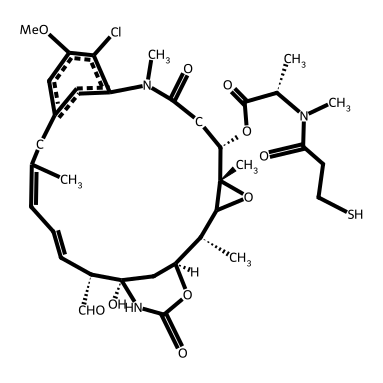 COc1cc2cc(c1Cl)N(C)C(=O)C[C@H](OC(=O)[C@H](C)N(C)C(=O)CCS)[C@]1(C)OC1[C@H](C)[C@@H]1C[C@@](O)(NC(=O)O1)[C@H](C=O)/C=C/C=C(\C)C2